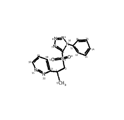 CC(CS(=O)(=O)c1nnnn1-c1ccccc1)c1cccnn1